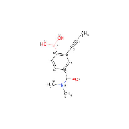 CC#Cc1cc(C(=O)N(C)C)ccc1B(O)O